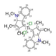 CC1=C(C)C2C(=[C]1[Ti]([Cl])([Cl])[C]1=C3c4ccccc4N(C)C3C(C)=C1C)c1ccccc1N2C